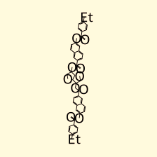 CCc1ccc(C(=O)Oc2ccc3cc(C(=O)OC4COC5C(OC(=O)c6ccc7cc(OC(=O)c8ccc(CC)cc8)ccc7c6)COC45)ccc3c2)cc1